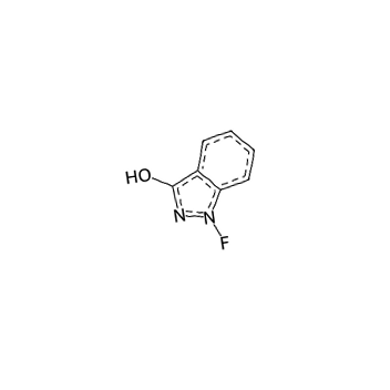 Oc1nn(F)c2ccccc12